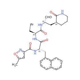 Cc1cc(C(=O)N[C@@H](Cc2cccc3ccccc23)C(=O)N[C@@H](CC(C)C)C(=O)N[C@H](C=O)C[C@@H]2CCCNC2=O)no1